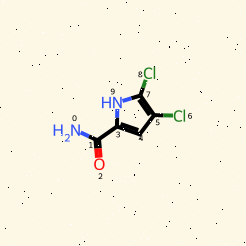 NC(=O)c1cc(Cl)c(Cl)[nH]1